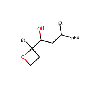 CCCCC(CC)CC(O)C1(CC)CCO1